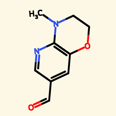 CN1CCOc2cc(C=O)cnc21